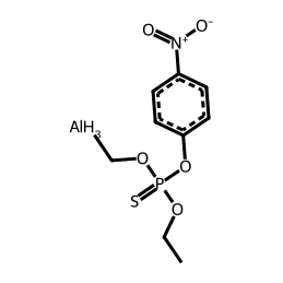 CCOP(=S)(OCC)Oc1ccc([N+](=O)[O-])cc1.[AlH3]